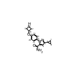 NC(=O)c1cc(C2CC2)nn1-c1ccc(OC2CNC2)cc1